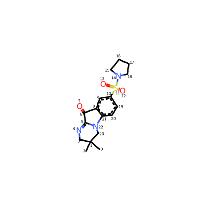 CC1(C)CN=C2C(=O)c3cc(S(=O)(=O)N4CCCC4)ccc3N2C1